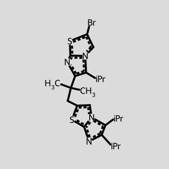 CC(C)c1nc2sc(CC(C)(C)c3nc4sc(Br)cn4c3C(C)C)cn2c1C(C)C